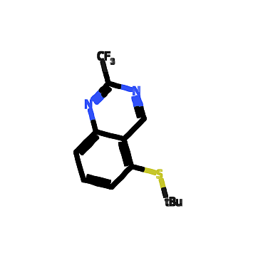 CC(C)(C)Sc1cccc2nc(C(F)(F)F)ncc12